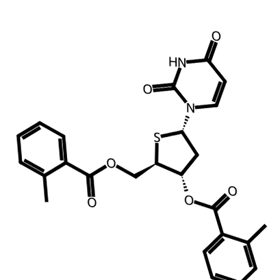 Cc1ccccc1C(=O)OC[C@H]1S[C@H](n2ccc(=O)[nH]c2=O)C[C@@H]1OC(=O)c1ccccc1C